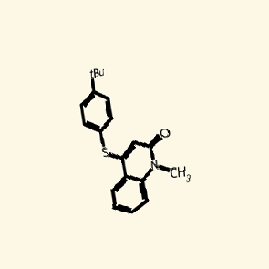 Cn1c(=O)cc(Sc2ccc(C(C)(C)C)cc2)c2ccccc21